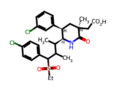 CCS(=O)(=O)C(c1ccc(Cl)cc1)C(C)C(C)[C@@H]1NC(=O)[C@](C)(CC(=O)O)C[C@@H]1c1cccc(Cl)c1